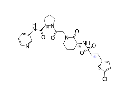 O=C(Nc1cccnc1)[C@H]1CCCN1C(=O)CN1CCC[C@H](NS(=O)(=O)/C=C/c2ccc(Cl)s2)C1=O